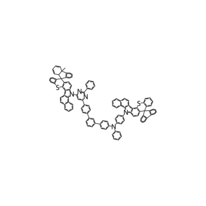 CC12C=CC=CC1C1(c3ccccc3Sc3c1ccc1c3c3ccc4ccccc4c3n1-c1cc(-c3ccc(-c4cccc(-c5ccc(N(c6ccccc6)c6ccc(-n7c8ccc9c(c8c8ccc%10ccccc%10c87)Sc7ccccc7C97c8ccccc8-c8ccccc87)cc6)cc5)c4)cc3)nc(-c3ccccc3)n1)c1ccccc12